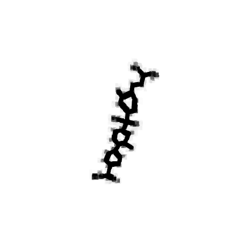 CCC(CC)(c1ccc(CCC(O)C(C)(C)C)c(C)c1)c1ccc(-c2ccc(C(=O)OC)cc2)c(C)c1